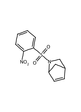 O=[N+]([O-])c1ccccc1S(=O)(=O)N1CC2C=CC1C2